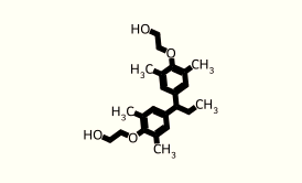 CCC(c1cc(C)c(OCCO)c(C)c1)c1cc(C)c(OCCO)c(C)c1